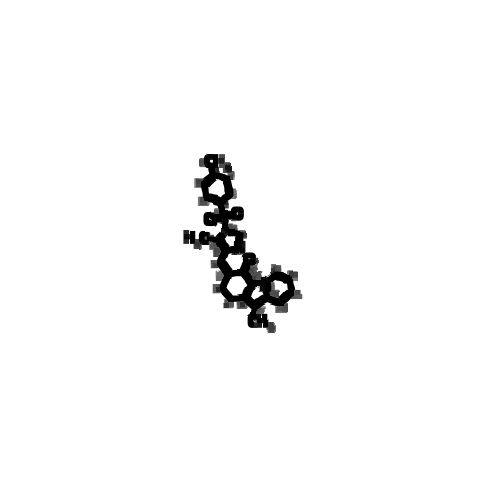 Cc1ccc(S(=O)(=O)n2cnc(C=C3CCc4c(C)c5ccccn5c4C3=O)c2C)cc1